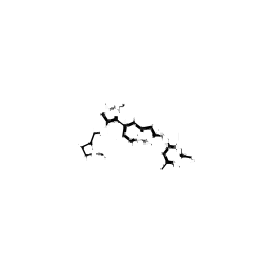 Cc1cc(Nc2cc3cc(-c4c(OCC5CCN5C)cnn4C)ccn3n2)nc(C)n1